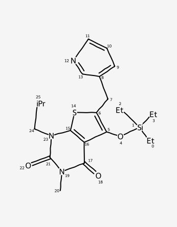 CC[Si](CC)(CC)Oc1c(Cc2cccnc2)sc2c1c(=O)n(C)c(=O)n2CC(C)C